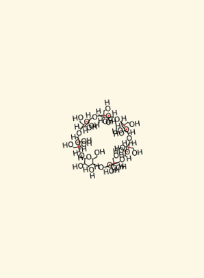 OCC1O[C@@H]2O[C@@H]3C(CO)O[C@H](O[C@@H]4C(CO)O[C@H](O[C@@H]5C(CO)O[C@@H](O[C@@H]6C(CO)O[C@H](O[C@@H]7C(CO)O[C@H](O[C@@H]8C(CO)O[C@H](O[C@H]1[C@H](O)C2O)C(O)[C@H]8O)C(O)[C@H]7O)C(O)[C@H]6O)C(O)[C@H]5O)C(O)[C@H]4O)C(O)[C@H]3O